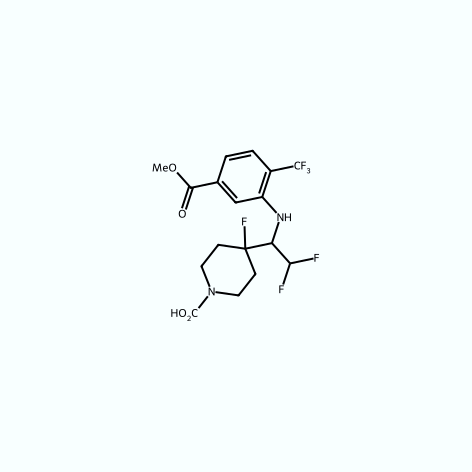 COC(=O)c1ccc(C(F)(F)F)c(NC(C(F)F)C2(F)CCN(C(=O)O)CC2)c1